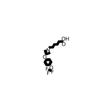 O=C(O)CCCCCN1CC(Oc2ccc(OC(F)(F)F)cc2)C1